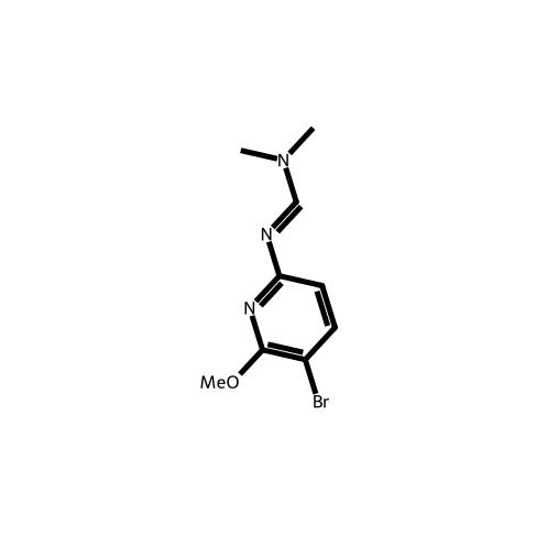 COc1nc(/N=C/N(C)C)ccc1Br